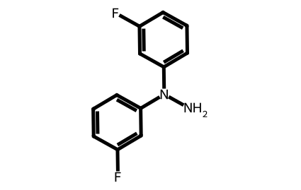 NN(c1cccc(F)c1)c1cccc(F)c1